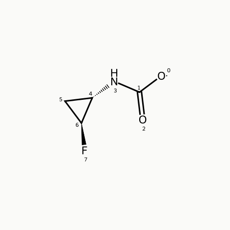 [O]C(=O)N[C@H]1C[C@@H]1F